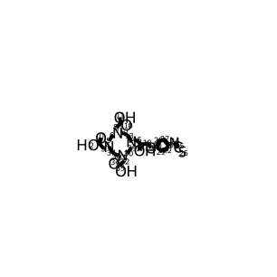 O=C(O)CN1CCN(CC(=O)O)CCN(CC(O)COc2ccc(N=C=S)cc2)CCN(CC(=O)O)CC1